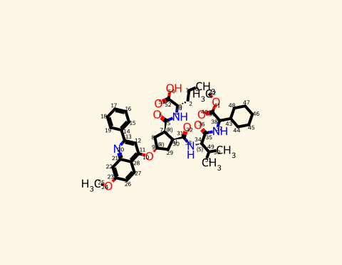 CCC[C@H](NC(=O)[C@@H]1C[C@H](Oc2cc(-c3ccccc3)nc3cc(OC)ccc23)C[C@@H]1C(=O)N[C@H](C(=O)NC(C(=O)OC)C1CCCCC1)C(C)C)C(=O)O